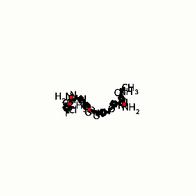 CCNC(=O)c1cc2c(-c3cccc(OCCC4CCN(C(=O)CCOC(=O)N5CCC(n6cc(-c7cnc(N)c(OC(C)c8c(Cl)ccc(F)c8Cl)c7)cn6)CC5)CC4)c3)nc(N)nc2s1